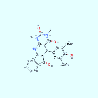 COc1cc(C2C3=C(Nc4c2c(=O)n(C)c(=O)n4C)c2ccccc2C3=O)cc(OC)c1O